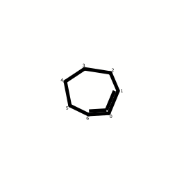 C1=CCCCCC=1